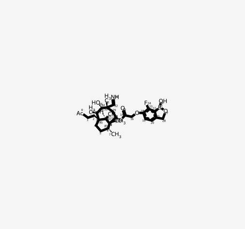 CC(=O)CC[C@]12CC[C@@H](C)[C@](C)([C@@H]1C)[C@H](OC(=O)COc1ccc3c(c1F)B(O)OC3)C[C@@](C)(C=N)[C@@H](O)[C@@H]2C